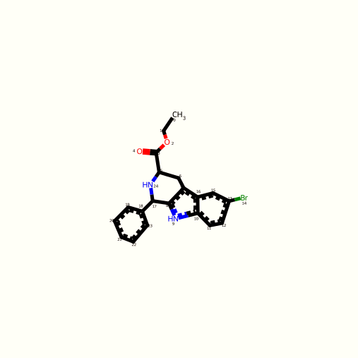 CCOC(=O)C1Cc2c([nH]c3ccc(Br)cc23)C(c2ccccc2)N1